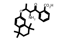 CC(Oc1ccc2c(c1)C(C)(C)CCC2(C)C)[C@H](N)C(=O)c1ccccc1C(=O)O